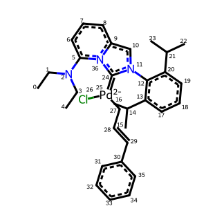 CCN(CC)c1cccc2cn(-c3c(C(C)C)cccc3C(C)C)[c](=[Pd-2]([Cl])[CH2]C=Cc3ccccc3)n12